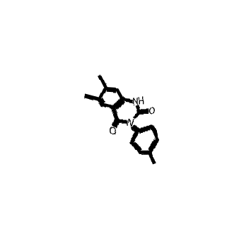 Cc1ccc(-n2c(=O)[nH]c3cc(C)c(C)cc3c2=O)cc1